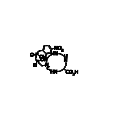 O=C(O)C1CNCCNCCCN(CP(=O)(O)CP(=O)(O)Cc2ccc([N+](=O)[O-])cc2)CCNC1